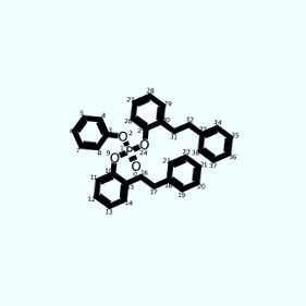 O=P(Oc1ccccc1)(Oc1ccccc1CCc1ccccc1)Oc1ccccc1CCc1ccccc1